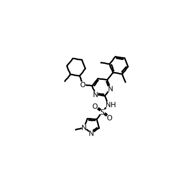 Cc1cccc(C)c1-c1cc(OC2CCCCC2C)nc(NS(=O)(=O)c2cnn(C)c2)n1